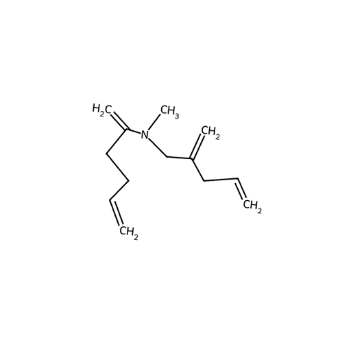 C=CCCC(=C)N(C)CC(=C)CC=C